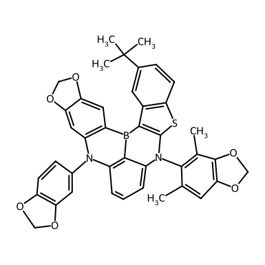 Cc1cc2c(c(C)c1N1c3cccc4c3B(c3cc5c(cc3N4c3ccc4c(c3)OCO4)OCO5)c3c1sc1ccc(C(C)(C)C)cc31)OCO2